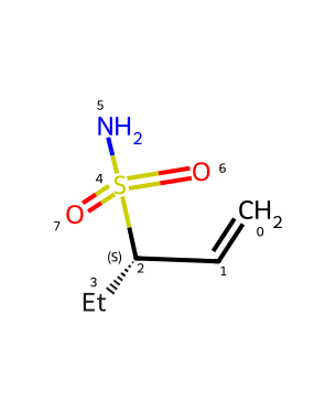 C=C[C@H](CC)S(N)(=O)=O